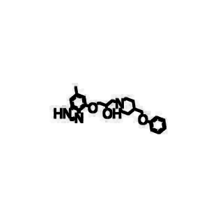 Cc1cc(OCC(O)CN2CCC(COc3ccccc3)CC2)c2nc[nH]c2c1